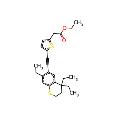 CCOC(=O)Cc1ccc(C#Cc2cc3c(cc2CC)SCCC3(CC)CC)s1